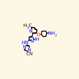 Cc1ccc(OC2CCC(N)CC2)c(-c2cc(Nc3cnc(C#N)cn3)n[nH]2)n1